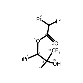 CCC(I)C(=O)OC(C(C)C)C(C)(O)C(F)(F)F